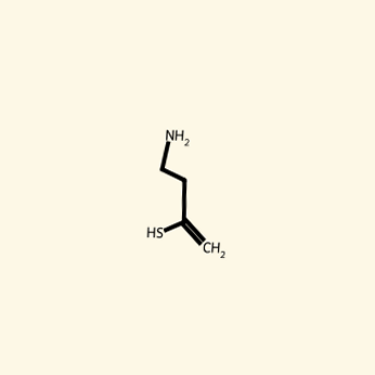 C=C(S)CCN